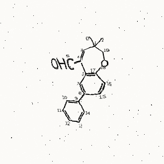 CC1(C)C=C(C=O)c2cc(-c3ccccc3)ccc2OC1